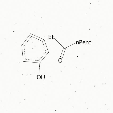 CCCCCC(=O)CC.Oc1ccccc1